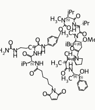 CC[C@H](C)C([C@@H](CC(=O)N1CCC[C@H]1[C@H](C)[C@@H](C)C(=O)N[C@H](C)[C@@H](O)c1ccccc1)OC)N(C)C(=O)[C@H](NC(=O)[C@H](C(C)C)N(C)C(=O)OCc1ccc(NC(=O)[C@@H](CCCNC(N)=O)NC(=O)[C@@H](NC(=O)CCCCCN2C(=O)C=CC2=O)C(C)C)cc1)C(C)C